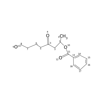 CC(CC(=O)C[CH]CC=O)OC(=O)c1ccccc1